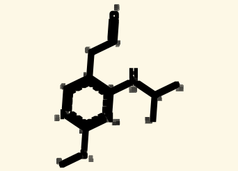 CSc1ncc(CC=O)c(NC(C)C)n1